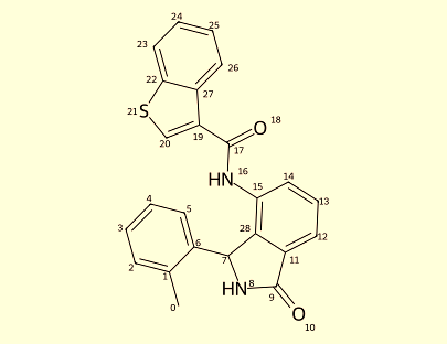 Cc1ccccc1C1NC(=O)c2cccc(NC(=O)c3csc4ccccc34)c21